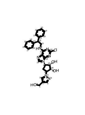 OCc1cnn(C2C[C@@H](n3cnc4c(NCC(c5ccccc5)c5ccccc5)nc(Cl)nc43)[C@H](O)[C@@H]2O)c1